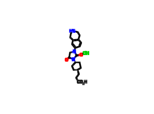 Cl.O=C(O)CC[C@H]1CC[C@H](N2C(=O)CN(c3ccc4c(c3)CCNCC4)C2=O)CC1